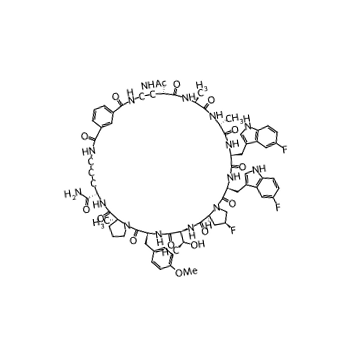 COc1ccc(C[C@@H]2NC(=O)[C@H]([C@H](C)O)NC(=O)[C@@H]3C[C@H](F)CN3C(=O)[C@H](Cc3c[nH]c4ccc(F)cc34)NC(=O)[C@H](Cc3c[nH]c4ccc(F)cc34)NC(=O)[C@@H](C)NC(=O)[C@H](C)NC(=O)[C@@H](NC(C)=O)CCNC(=O)c3cccc(c3)C(=O)NCCC[C@@H](C(N)=O)NC(=O)[C@]3(C)CCCN3C2=O)cc1